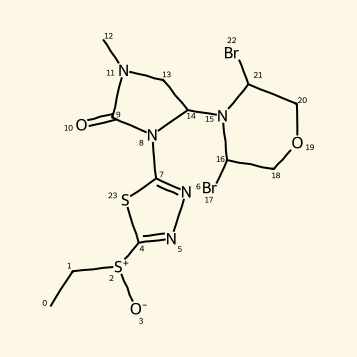 CC[S+]([O-])c1nnc(N2C(=O)N(C)CC2N2C(Br)COCC2Br)s1